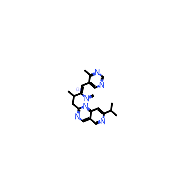 C=N/C(=C\c1cncnc1C)C(C)Cc1ncc2cnc(C(C)C)cc2n1